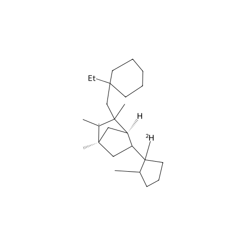 [2H]C1(C2C[C@]3(C)C[C@H]2C(C)(CC2(CC)CCCCC2)[C]3C)CCCC1C